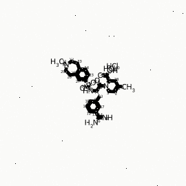 CC1=CCN(C(=O)[C@H](Cc2cccc(C(=N)N)c2)NS(=O)(=O)c2ccc3c(c2)CCN(C)CC3)C(C(=O)O)C1.Cl.Cl